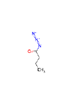 CCCC(=O)N=[N+]=[N-]